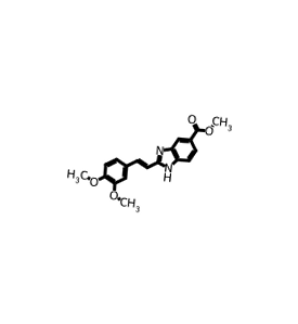 COC(=O)c1ccc2[nH]c(C=Cc3ccc(OC)c(OC)c3)nc2c1